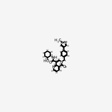 Cn1cc(-c2ccc(Cn3cc(C(=O)N[C@H]4CCCC[C@@H]4O)c4ncccc4c3=O)cc2)cn1